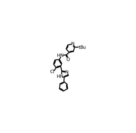 CC(C)(C)c1cc(C(=O)Nc2ccc(Cl)c(-c3ncc(-c4ccccc4)[nH]3)c2)ccn1